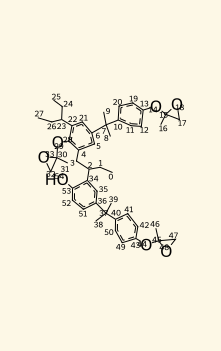 CCC(Cc1cc(C(C)(C)c2ccc(OC3(C)CO3)cc2)cc(C(CC)CC)c1OC1(C)CO1)c1cc(C(C)(C)c2ccc(OC3(C)CO3)cc2)ccc1O